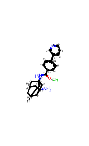 Cl.NC12C[C@H]3C[C@@H](C1)CC(NC(=O)c1ccc(-c4cccnc4)cc1)(C3)C2